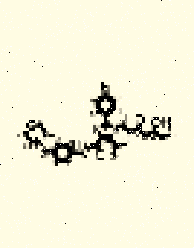 [CH2]CC(O)CC(O)CCn1c(-c2ccc(F)cc2)nc(C(=O)NCc2ccc(CN3CCOCC3)cc2)c1C(C)C